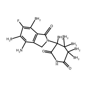 Bc1c(N)c2c(c(B)c1F)C(=O)N(C1(B)C(=O)NC(=O)C(B)(B)C1(B)B)C2